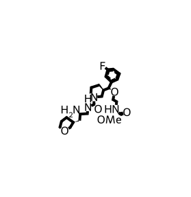 COC(=O)NCCO[C@@H](c1cccc(F)c1)[C@@H]1CCCN(C(=O)NC[C@@H](N)C[C@H]2CCCOC2)C1